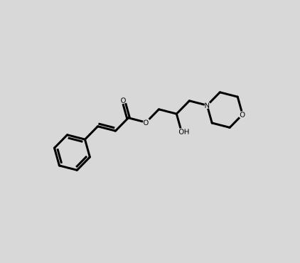 O=C(C=Cc1ccccc1)OCC(O)CN1CCOCC1